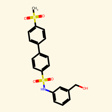 CS(=O)(=O)c1ccc(-c2ccc(S(=O)(=O)Nc3cccc(CO)c3)cc2)cc1